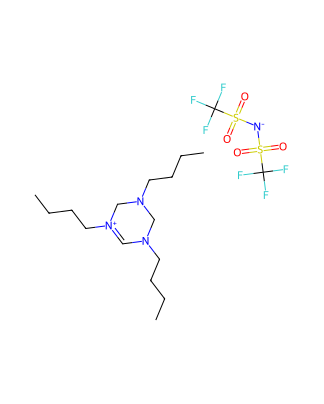 CCCCN1C=[N+](CCCC)CN(CCCC)C1.O=S(=O)([N-]S(=O)(=O)C(F)(F)F)C(F)(F)F